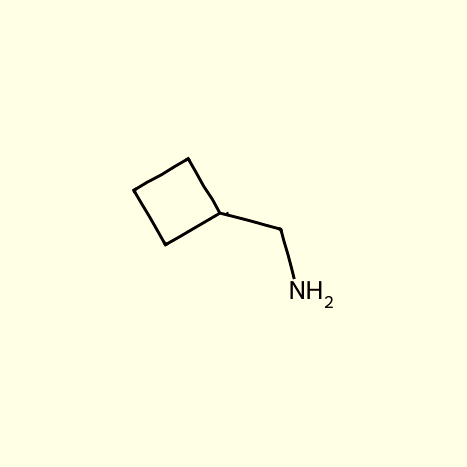 NC[C]1CCC1